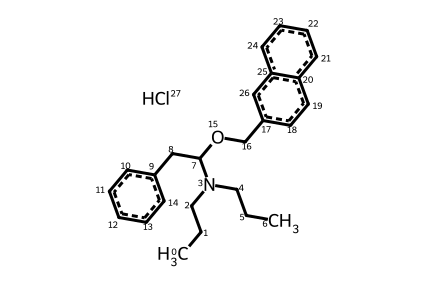 CCCN(CCC)C(Cc1ccccc1)OCc1ccc2ccccc2c1.Cl